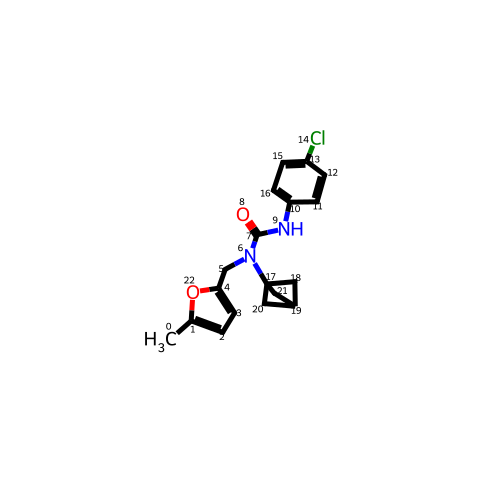 Cc1ccc(CN(C(=O)Nc2ccc(Cl)cc2)C23CC(C2)C3)o1